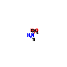 C.N.O.[Ti]